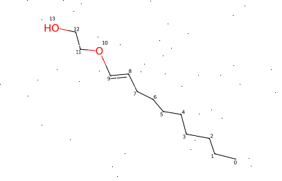 CCCCCCCCC=COCCO